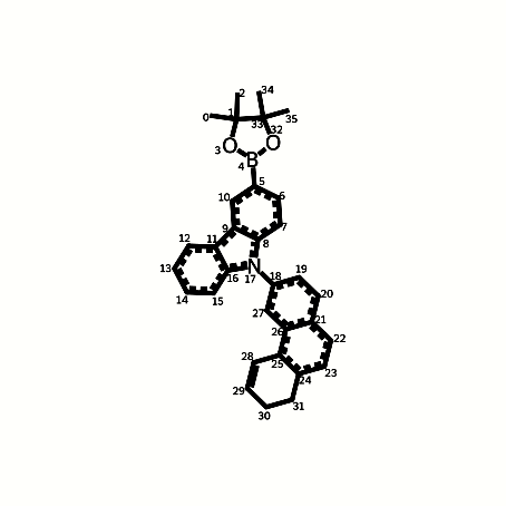 CC1(C)OB(c2ccc3c(c2)c2ccccc2n3-c2ccc3ccc4c(c3c2)C=CCC4)OC1(C)C